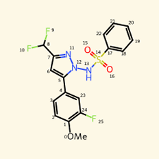 COc1ccc(-c2cc(C(F)F)nn2NS(=O)(=O)c2ccccc2)cc1F